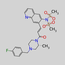 C[C@@H]1CN(Cc2ccc(F)cc2)CCN1C(=O)/C=C/c1cc2ncccc2cc1N(S(C)(=O)=O)S(C)(=O)=O